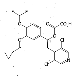 O=C(O)C(=O)O[C@@H](Cc1c(Cl)cncc1Cl)c1ccc(OC(F)F)c(OCC2CC2)c1